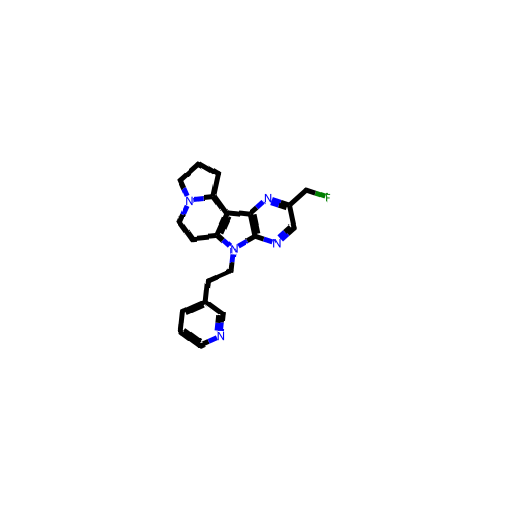 FCc1cnc2c(n1)c1c(n2CCc2cccnc2)CCN2CCCC12